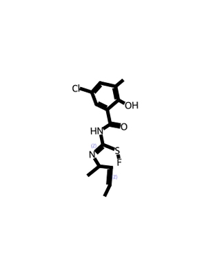 C/C=C\C(C)/N=C(/NC(=O)c1cc(Cl)cc(C)c1O)SF